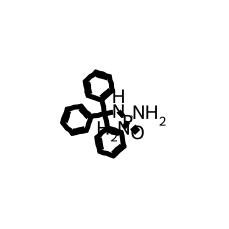 NP(N)(=O)NC(c1ccccc1)(c1ccccc1)c1ccccc1